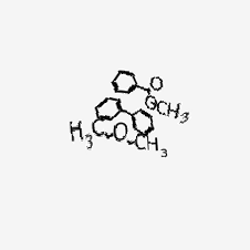 CCOCC.COC(=O)c1ccccc1.c1ccc(-c2ccccc2)cc1